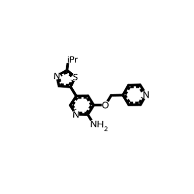 CC(C)c1ncc(-c2cnc(N)c(OCc3ccncc3)c2)s1